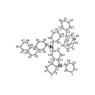 c1ccc(-n2c3ccccc3c3cc(N(c4ccc5c(c4)C4(c6ccccc6-5)C5CC6CC(C5)CC4C6)c4ccc5c(ccc6ccccc65)c4)ccc32)cc1